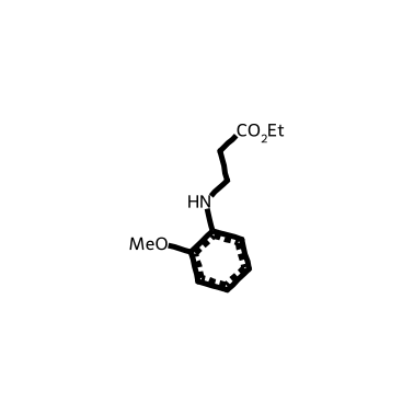 CCOC(=O)CCNc1ccccc1OC